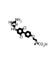 CN(CCOc1ccc(-c2c(Cl)cc(Nc3n[nH]c(N)n3)cc2Cl)cc1)C(=O)O